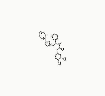 CN(C(=O)Cc1ccc(Cl)c(Cl)c1)C(CN1CC[C@H](N2CCOCC2)C1)c1ccccc1